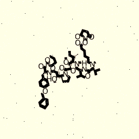 CC[C@H](C)[C@@H]([C@@H](CC(=O)N1CCC[C@H]1[C@H](OC)[C@@H](C)C(=O)N[C@@H](Cc1ccc(OCc2ccccc2)cc1)C(=O)N1CCCCO1)OC)N(C)C(=O)[C@@H](NC(=O)[C@H](C(C)C)N(C)CCCCCC(=O)ON1C(=O)CCC1=O)C(C)C